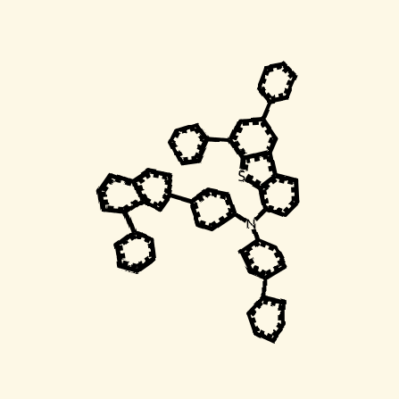 c1ccc(-c2ccc(N(c3ccc(-c4ccc5cccc(-c6ccccc6)c5c4)cc3)c3cccc4c3sc3c(-c5ccccc5)cc(-c5ccccc5)cc34)cc2)cc1